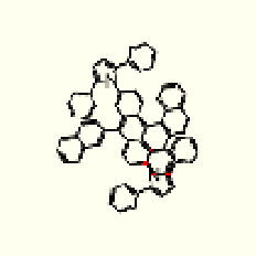 c1ccc(-c2ccc3ccccc3c2-c2c3ccc(-n4c(-c5ccccc5)ccc4-c4ccccc4)cc3c(-c3ccc4ccccc4c3)c3ccc(-n4c(-c5ccccc5)ccc4-c4ccccc4)cc23)cc1